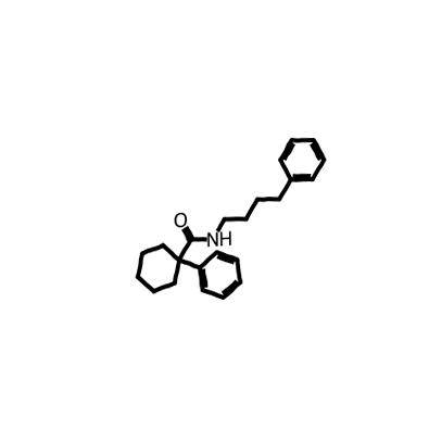 O=C(NCCCCc1ccccc1)C1(c2ccccc2)CCCCC1